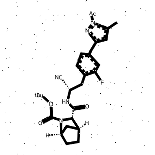 CC(=O)n1nc(-c2ccc(C[C@@H](C#N)NC(=O)[C@@H]3[C@H]4CC[C@H](C4)N3C(=O)OC(C)(C)C)c(F)c2)cc1C